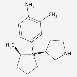 Cc1cc([N+]2([C@H]3CCNC3)CCC[C@H]2C)ccc1N